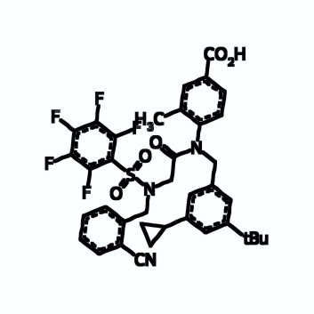 Cc1cc(C(=O)O)ccc1N(Cc1cc(C2CC2)cc(C(C)(C)C)c1)C(=O)CN(Cc1ccccc1C#N)S(=O)(=O)c1c(F)c(F)c(F)c(F)c1F